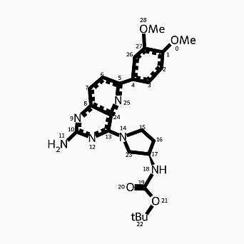 COc1ccc(-c2ccc3nc(N)nc(N4CC[C@@H](NC(=O)OC(C)(C)C)C4)c3n2)cc1OC